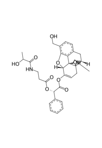 CC(O)C(=O)NCCC(=O)O[C@H](C(=O)OC1=CC[C@@]2(O)[C@H]3Cc4ccc(CO)c5c4[C@@]2(CCN3C)[C@H]1O5)c1ccccc1